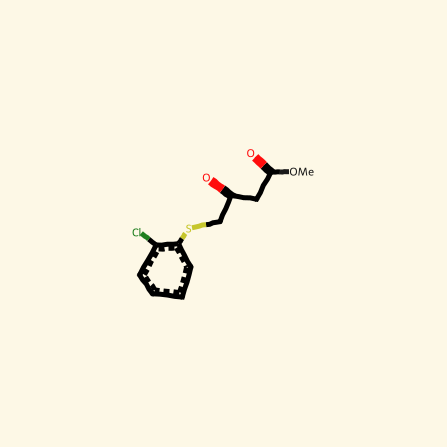 COC(=O)CC(=O)CSc1ccccc1Cl